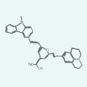 Cn1c2ccccc2c2cc(/C=C/C3=CC(=C(C#N)C#N)C=C(/C=C/c4cc5c6c(c4)CCCN6CCC5)O3)ccc21